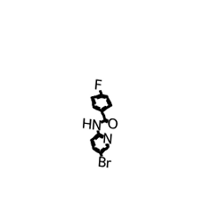 O=C(Nc1ccc(Br)cn1)c1ccc(F)cc1